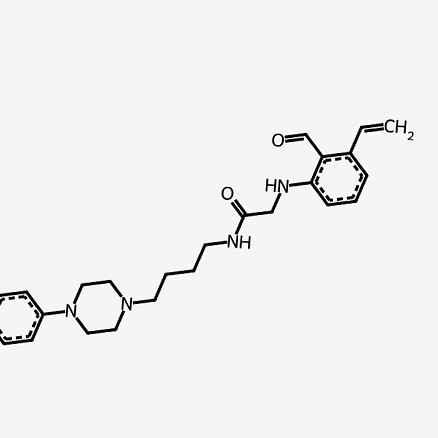 C=Cc1cccc(NCC(=O)NCCCCN2CCN(c3ccccc3)CC2)c1C=O